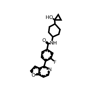 O=C(NC1CCC(C2(O)CC2)CC1)c1ccc(-c2nccc3occc23)c(F)c1